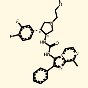 COCCN1C[C@@H](NC(=O)Nc2c(-c3ccccc3)nc3c(C)nccn23)[C@H](c2ccc(F)c(F)c2)C1